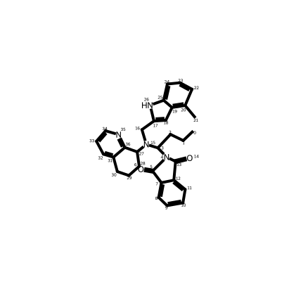 CCCC(N1C(=O)c2ccccc2C1=O)N(Cc1cc2c(C)cccc2[nH]1)C1CCCc2cccnc21